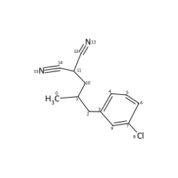 CC(Cc1cccc(Cl)c1)CC(C#N)C#N